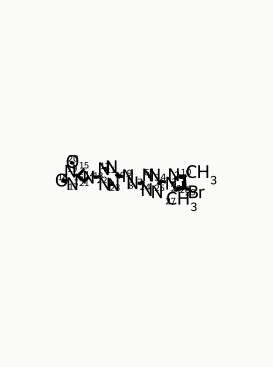 Cc1nn(-c2nnc(N=Nc3nnc(N4CC(N=O)(N=O)C4)nn3)nn2)c(C)c1Br